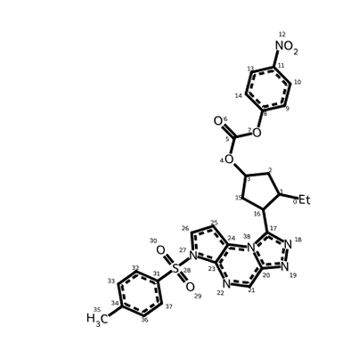 CCC1CC(OC(=O)Oc2ccc([N+](=O)[O-])cc2)CC1c1nnc2cnc3c(ccn3S(=O)(=O)c3ccc(C)cc3)n12